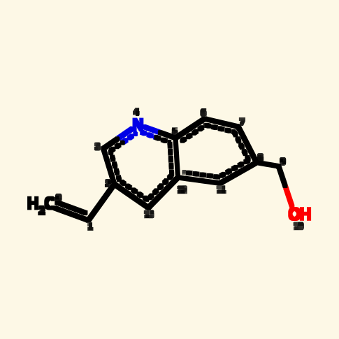 C=Cc1cnc2ccc(CO)cc2c1